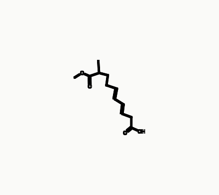 COC(=O)C(C)CC/C=C/C=C/CC(=O)O